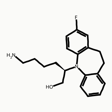 NCCCC[C@H](CO)N1c2ccccc2CCc2cc(F)ccc21